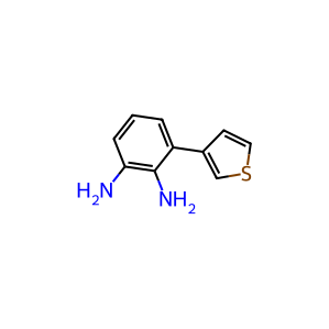 Nc1cccc(-c2ccsc2)c1N